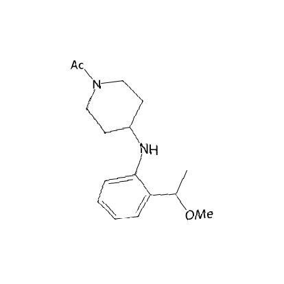 COC(C)c1ccccc1NC1CCN(C(C)=O)CC1